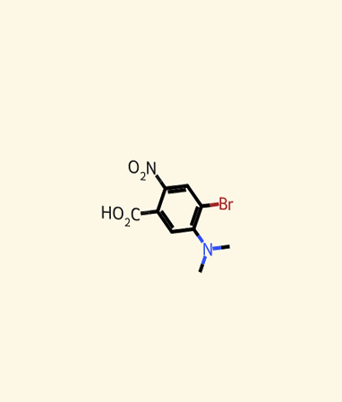 CN(C)c1cc(C(=O)O)c([N+](=O)[O-])cc1Br